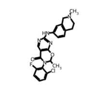 CC1Oc2nc(Nc3ccc4c(c3)CN(C)CC4)ncc2C(=O)N1c1c(F)cccc1Cl